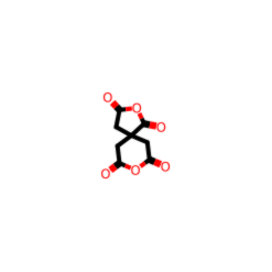 O=C1CC2(CC(=O)O1)CC(=O)OC2=O